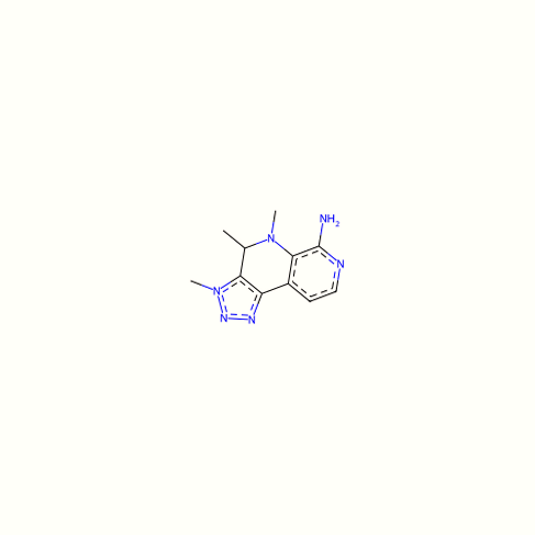 CC1c2c(nnn2C)-c2ccnc(N)c2N1C